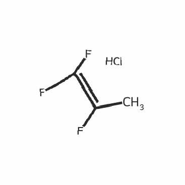 CC(F)=C(F)F.Cl